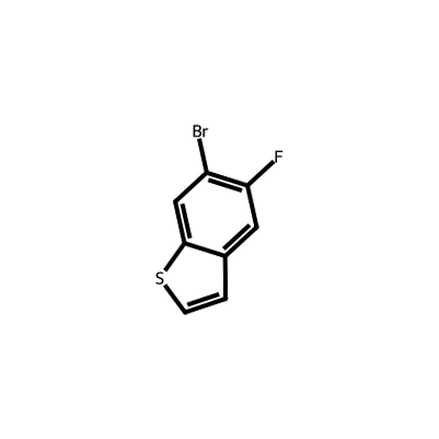 Fc1cc2ccsc2cc1Br